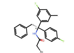 CC(=O)CC(=O)N[C@](Cc1ccccc1)(c1ccc(F)cc1)c1cc(C)cc(F)c1